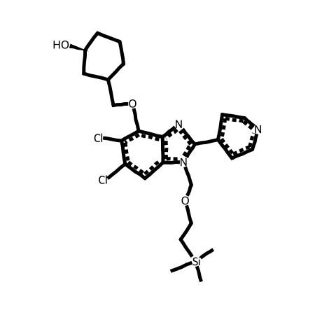 C[Si](C)(C)CCOCn1c(-c2ccncc2)nc2c(OCC3CCC[C@H](O)C3)c(Cl)c(Cl)cc21